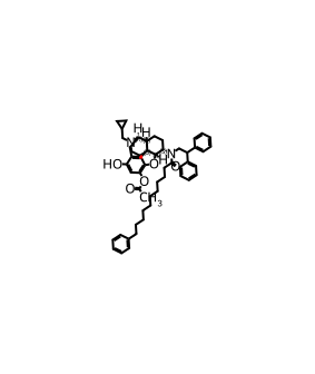 CC(=O)Oc1cc(O)c2c3c1O[C@H]1[C@@H](N(CC(c4ccccc4)c4ccccc4)C(=O)CCCCCCCCCCc4ccccc4)CC[C@H]4[C@@H](C2)N(CC2CC2)CC[C@@]341